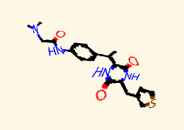 C/C(c1ccc(NC(=O)CN(C)C)cc1)=c1/[nH]c(=O)/c(=C/c2ccsc2)[nH]c1=O